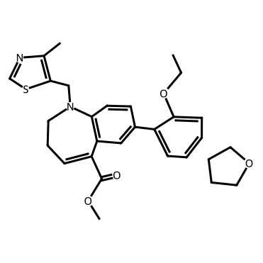 C1CCOC1.CCOc1ccccc1-c1ccc2c(c1)C(C(=O)OC)=CCCN2Cc1scnc1C